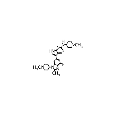 Cc1nc2c(F)cc(-c3c[nH]c4nc(NC5CCN(C)CC5)ncc34)cc2n1C1CCN(C)CC1